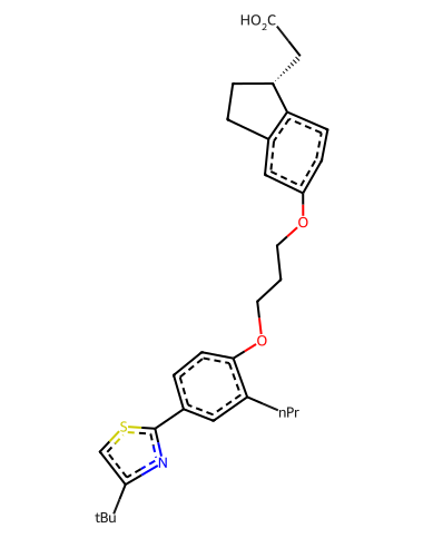 CCCc1cc(-c2nc(C(C)(C)C)cs2)ccc1OCCCOc1ccc2c(c1)CC[C@@H]2CC(=O)O